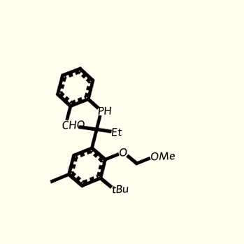 CCC(C)(Pc1ccccc1C=O)c1cc(C)cc(C(C)(C)C)c1OCOC